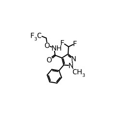 Cn1nc(C(F)F)c(C(=O)NOCC(F)(F)F)c1-c1ccccc1